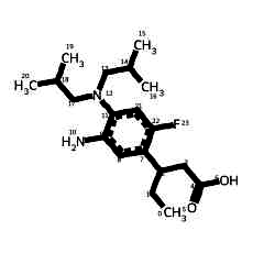 CCC(CC(=O)O)c1cc(N)c(N(CC(C)C)CC(C)C)cc1F